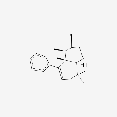 C[C@H]1CC[C@H]2C(C)(C)CC=C(c3ccccc3)[C@]2(C)[C@H]1C